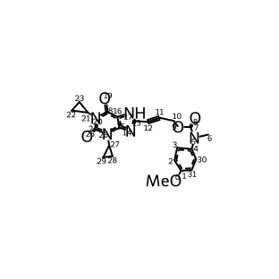 COc1ccc(N(C)C(=O)OCC#Cc2nc3c([nH]2)c(=O)n(C2CC2)c(=O)n3C2CC2)cc1